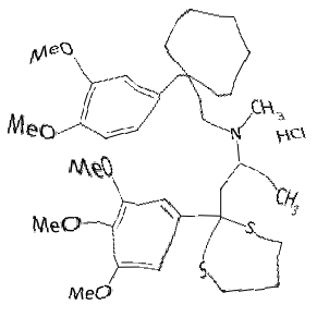 COc1ccc(C2(CN(C)C(C)CC3(c4cc(OC)c(OC)c(OC)c4)SCCCS3)CCCCC2)cc1OC.Cl